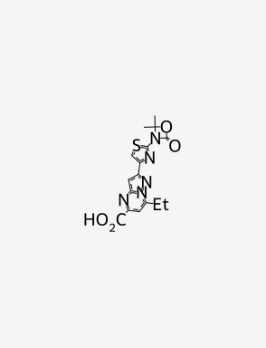 CCc1cc(C(=O)O)nc2cc(-c3csc(N4C(=O)OC4(C)C)n3)nn12